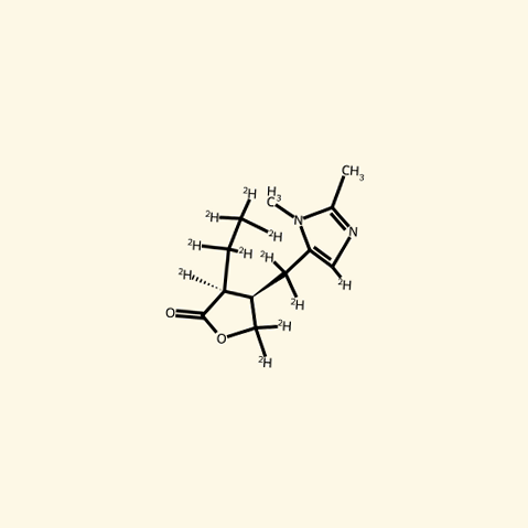 [2H]c1nc(C)n(C)c1C([2H])([2H])[C@H]1C([2H])([2H])OC(=O)[C@@]1([2H])C([2H])([2H])C([2H])([2H])[2H]